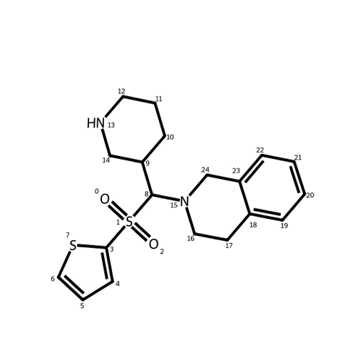 O=S(=O)(c1cccs1)C(C1CCCNC1)N1CCc2ccccc2C1